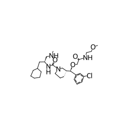 CNC[C@H](CC1CCCCC1)NC(=O)N1CCC[C@@H]([C@@H](OCC(=O)NCCOC)c2cccc(Cl)c2)C1